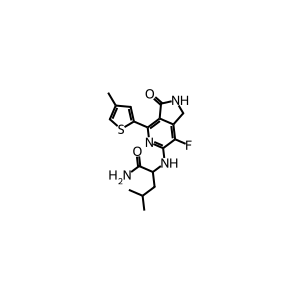 Cc1csc(-c2nc(NC(CC(C)C)C(N)=O)c(F)c3c2C(=O)NC3)c1